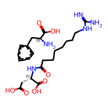 N=C(N)NCCCCCCCC(=O)N[C@@H](CC(=O)O)C(=O)O.N[C@@H](Cc1ccccc1)C(=O)O